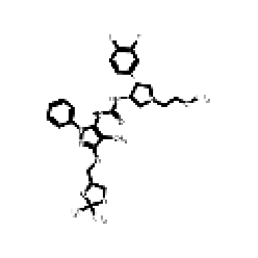 COCCN1C[C@@H](NC(=O)Nc2c(C)c(OCC3COC(C)(C)O3)nn2-c2ccccc2)[C@H](c2ccc(F)c(F)c2)C1